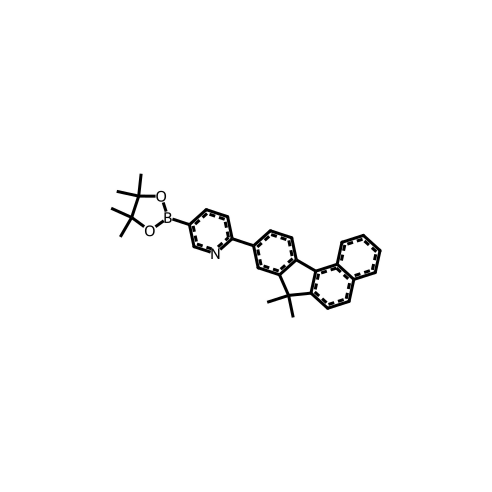 CC1(C)c2cc(-c3ccc(B4OC(C)(C)C(C)(C)O4)cn3)ccc2-c2c1ccc1ccccc21